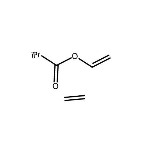 C=C.C=COC(=O)C(C)C